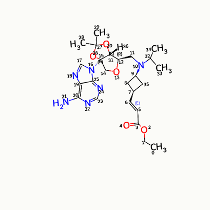 CCOC(=O)/C=C/[C@H]1C[C@@H](N(C[C@H]2OC[C@@]3(n4cnc5c(N)ncnc54)OC(C)(C)O[C@H]23)C(C)C)C1